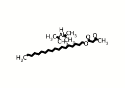 CCCCCCCCCCCCCCCCCCOC(=O)CC(C)=O.C[CH](C)[AlH][CH](C)C